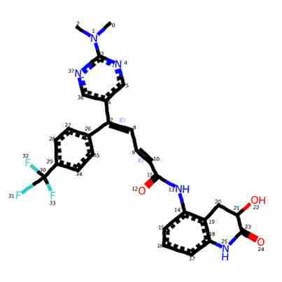 CN(C)c1ncc(/C(=C/C=C/C(=O)Nc2cccc3c2CC(O)C(=O)N3)c2ccc(C(F)(F)F)cc2)cn1